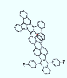 Fc1ccc(-c2c3c(c(-c4ccc(F)cc4)c4ccccc24)-c2ccc4c5ccc6c7c(ccc(c8ccc-3c2c84)c57)c2c(-c3ccccc3-c3ccccc3)c3cc4ccccc4c4c5ccccc5c(c62)c34)cc1